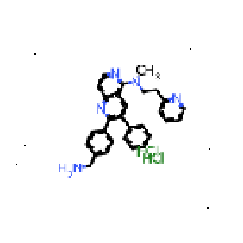 CN(CCc1ccccn1)c1nccc2nc(-c3ccc(CN)cc3)c(-c3ccccc3)cc12.Cl.Cl